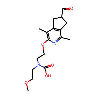 COCCN(CCOc1nc(C)c2c(c1C)CC(C=O)C2)C(=O)O